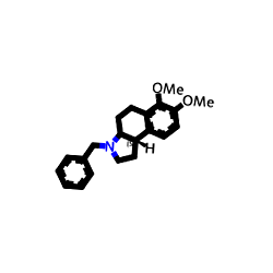 COc1ccc2c(c1OC)CCC1[C@H]2CCN1Cc1ccccc1